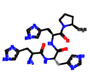 N[C@@H](Cc1c[nH]cn1)C(=O)N[C@@H](Cc1c[nH]cn1)C(=O)N[C@@H](Cc1c[nH]cn1)C(=O)N1CCC[C@H]1C(=O)O